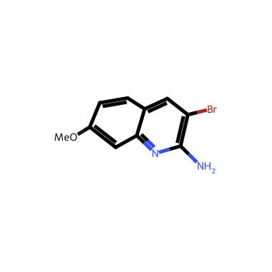 COc1ccc2cc(Br)c(N)nc2c1